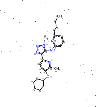 CCCCc1cccc(Nc2c(-c3ccc(OC4CCCCC4)c(C)n3)nnn2C)n1